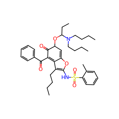 CCCCc1c(NS(=O)(=O)c2ccccc2C)oc2c1=C(C(=O)c1ccccc1)C(=O)C(OC(CC)N(CCCC)CCCC)C=2